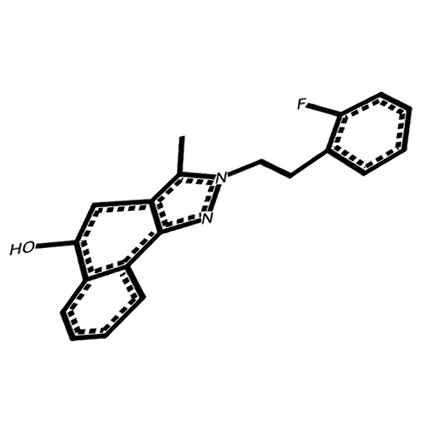 Cc1c2cc(O)c3ccccc3c2nn1CCc1ccccc1F